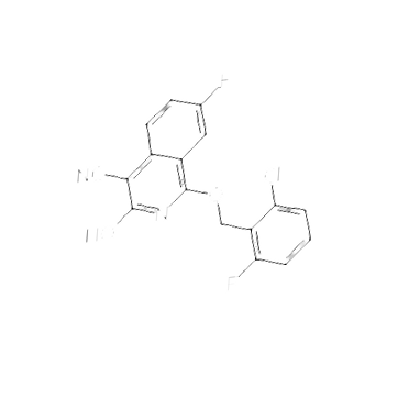 N#Cc1c(O)nc(OCc2c(F)cccc2Cl)c2cc(F)ccc12